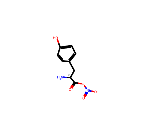 N[C@@H](Cc1ccc(O)cc1)C(=O)O[N+](=O)[O-]